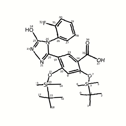 CC(C)(C)[Si](C)(C)Oc1cc(O[Si](C)(C)C(C)(C)C)c(-c2nnc(O)n2-c2ccccc2F)cc1C(=O)O